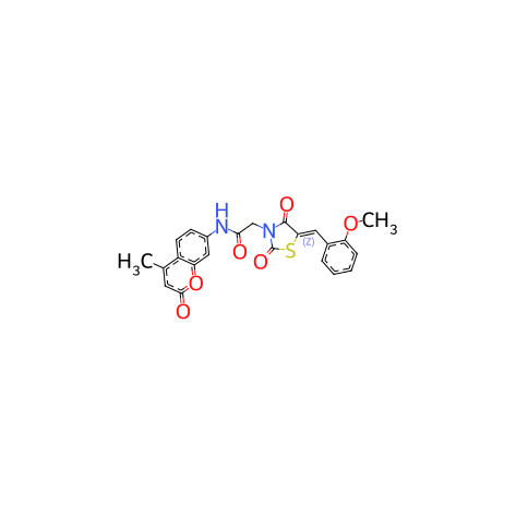 COc1ccccc1/C=C1\SC(=O)N(CC(=O)Nc2ccc3c(C)cc(=O)oc3c2)C1=O